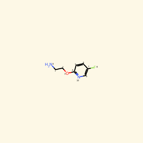 NCCOc1ccc(F)cn1